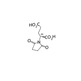 O=C(O)CC[C@@H](C(=O)O)N1C(=O)CCC1=O